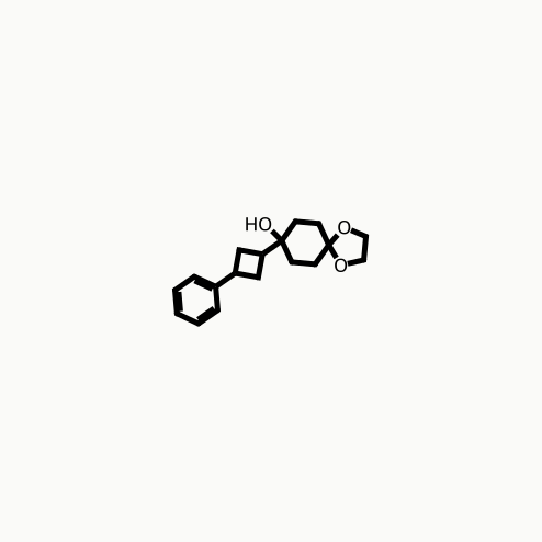 OC1(C2CC(c3ccccc3)C2)CCC2(CC1)OCCO2